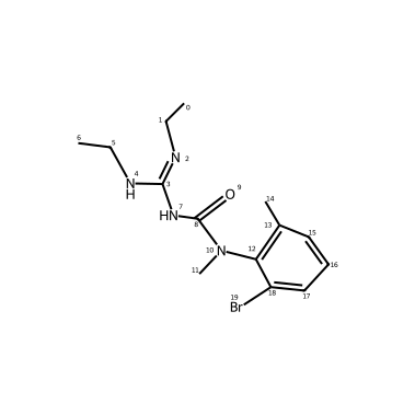 CCN=C(NCC)NC(=O)N(C)c1c(C)cccc1Br